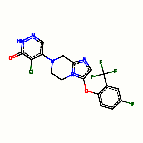 O=c1[nH]ncc(N2CCn3c(Oc4ccc(F)cc4C(F)(F)F)cnc3C2)c1Cl